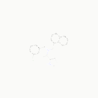 CCC(C1CCCN1)N(Cc1cccc(Br)c1)Cc1cccc2ccccc12